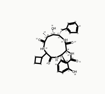 C[C@H]1NC(=O)C(C2CCC2)NC(=O)[C@H](C)[C@H](O)[C@H](Cc2ccccc2)NC(=O)[C@H]1NC(=O)c1ccccc1O